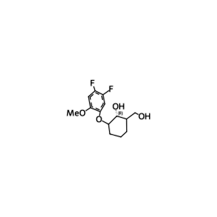 COc1cc(F)c(F)cc1OC1CCCC(CO)[C@H]1O